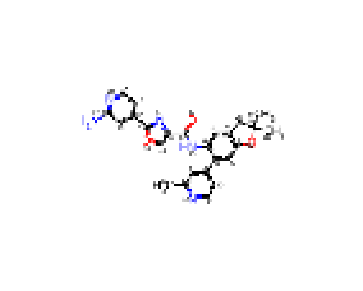 Cc1cc(-c2cc3c(cc2NC(=O)c2coc(-c4ccnc(N)c4)n2)CC(C)(C)O3)ccn1